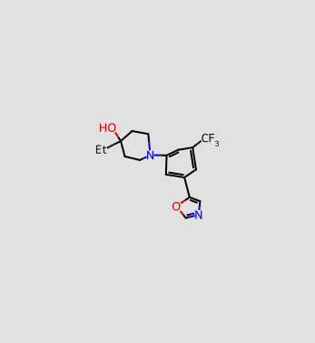 CCC1(O)CCN(c2cc(-c3cnco3)cc(C(F)(F)F)c2)CC1